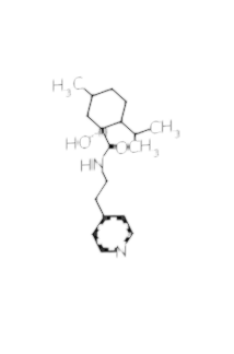 CC1CCC(C(C)C)[C@@](O)(C(=O)NCCc2ccncc2)C1